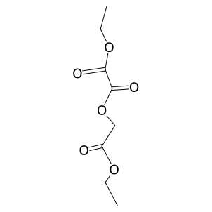 CCOC(=O)COC(=O)C(=O)OCC